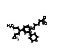 CCCC(CCC)c1ccc(OCCC[SiH](Cl)Cl)c(C2CCCCC2)c1